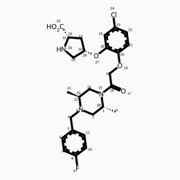 C[C@@H]1CN(Cc2ccc(F)cc2)[C@@H](C)CN1C(=O)COc1ccc(Cl)cc1O[C@@H]1CN[C@H](C(=O)O)C1